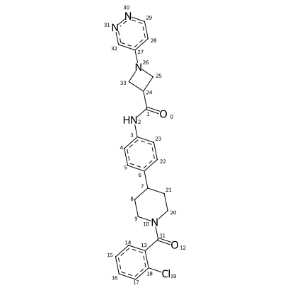 O=C(Nc1ccc(C2CCN(C(=O)c3ccccc3Cl)CC2)cc1)C1CN(c2ccnnc2)C1